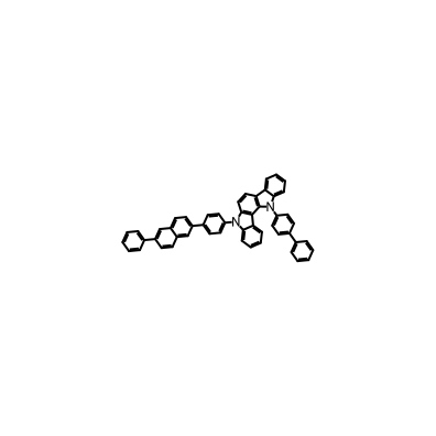 c1ccc(-c2ccc(-n3c4ccccc4c4ccc5c(c6ccccc6n5-c5ccc(-c6ccc7cc(-c8ccccc8)ccc7c6)cc5)c43)cc2)cc1